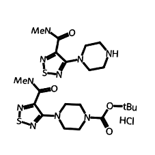 CNC(=O)c1nsnc1N1CCN(C(=O)OC(C)(C)C)CC1.CNC(=O)c1nsnc1N1CCNCC1.Cl